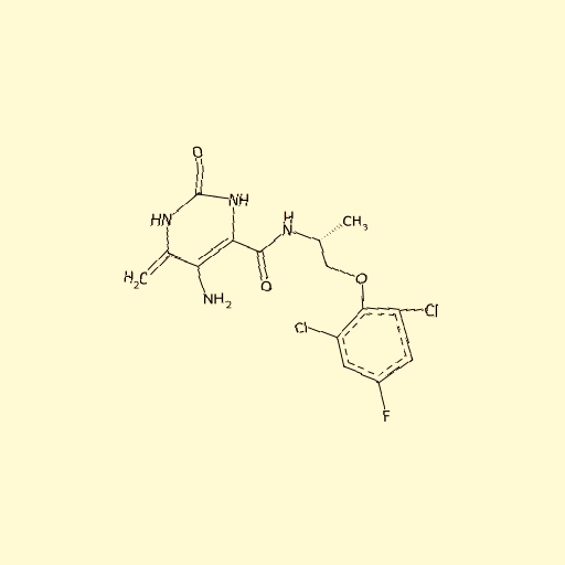 C=C1NC(=O)NC(C(=O)N[C@H](C)COc2c(Cl)cc(F)cc2Cl)=C1N